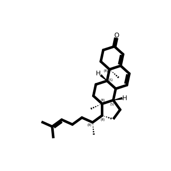 CC(C)=CCC[C@@H](C)[C@H]1CC[C@H]2C3C=CC4=CC(=O)CC[C@]4(C)[C@H]3CC[C@]12C